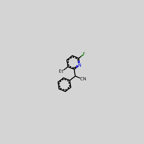 CCc1ccc(F)nc1C(C#N)c1ccccc1